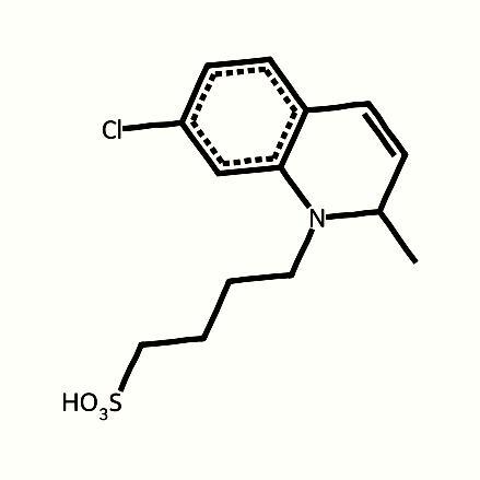 CC1C=Cc2ccc(Cl)cc2N1CCCCS(=O)(=O)O